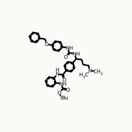 CN(C)CCCC(NC(=O)Nc1ccc(OCc2ccccc2)cc1)c1ccc(C(=O)Nc2ccccc2NC(=O)OC(C)(C)C)cc1